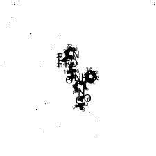 CC(C)(C)OC(=O)N1CC[C@@H](NC(=O)C(C)(C)COc2ncccc2C(F)(F)F)[C@H](c2ccccc2)C1